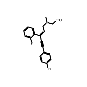 CC(C)c1ccc(C#CC(=CCN(C)CC(=O)O)c2ccccc2F)cc1